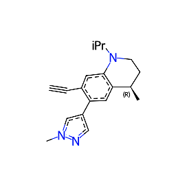 C#Cc1cc2c(cc1-c1cnn(C)c1)[C@H](C)CCN2C(C)C